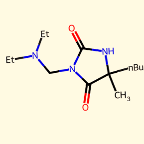 CCCCC1(C)NC(=O)N(CN(CC)CC)C1=O